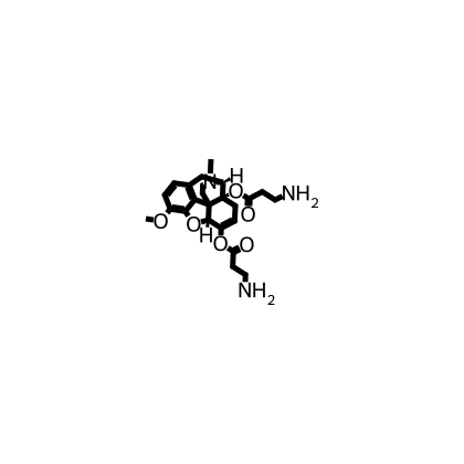 COc1ccc2c3c1O[C@H]1C(OC(=O)CCN)=CC[C@@]4(OC(=O)CCN)[C@@H](C2)N(C)CCC314